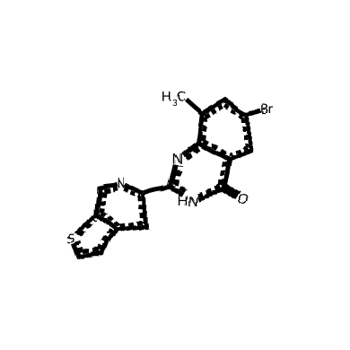 Cc1cc(Br)cc2c(=O)[nH]c(-c3cc4ccsc4cn3)nc12